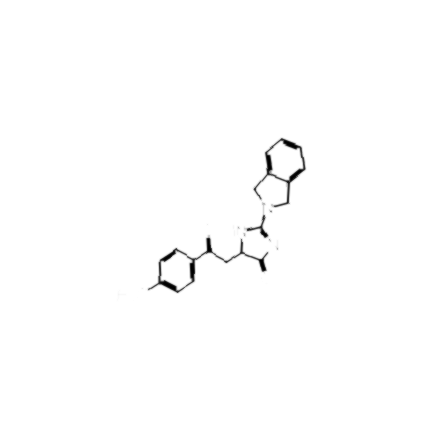 Cc1ccc(C(=O)CC2NC(N3Cc4ccccc4C3)=NC2=O)cc1